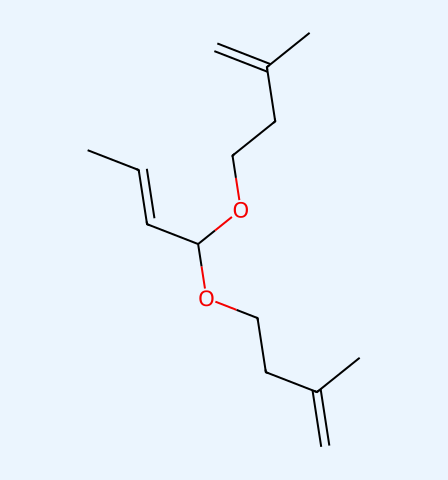 C=C(C)CCOC(C=CC)OCCC(=C)C